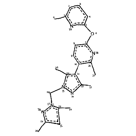 Cc1cccc(Oc2ccc(-c3c(C)nn(Cn4nc(C)cc4C)c3C)c(C)n2)n1